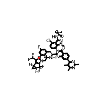 Cc1nc(C)c(C)c(-c2ccc3c(=O)n(-c4ccc(Cl)c5c(NS(C)(=O)=O)nn(C)c45)c([C@H](Cc4cc(F)cc(F)c4)NC(=O)Cn4nc(C(F)F)c5c4C(F)(F)[C@@H]4C[C@H]54)nc3c2)n1